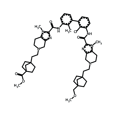 COCC12CCC(CCN3CCc4c(nc(C(=O)Nc5cccc(-c6cccc(NC(=O)c7nc8c(n7C)CCN(CCC79CCC(C(=O)OC)(CC7)C9)C8)c6C)c5Cl)n4C)C3)(CC1)C2